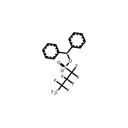 O=S(=O)(OI(c1ccccc1)c1ccccc1)C(F)(F)C(F)(F)C(F)(F)C(F)(F)F